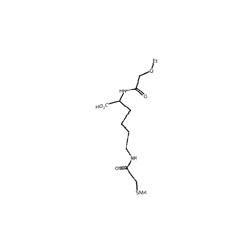 CCOCC(=O)NC(CCCCNC(=O)CSC)C(=O)O